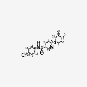 Cc1ccc(-c2ccc(C(=O)Nc3ccc(Cl)cc3)cn2)cc1C